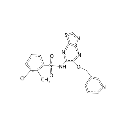 Cc1c(Cl)cccc1S(=O)(=O)Nc1nc2scnc2nc1OCc1cccnc1